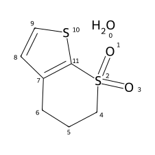 O.O=S1(=O)CCCc2ccsc21